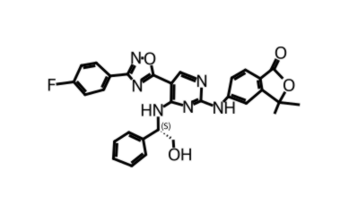 CC1(C)OC(=O)c2ccc(Nc3ncc(-c4nc(-c5ccc(F)cc5)no4)c(N[C@H](CO)c4ccccc4)n3)cc21